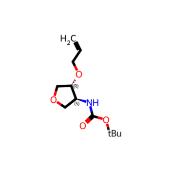 C=CCO[C@H]1COC[C@@H]1NC(=O)OC(C)(C)C